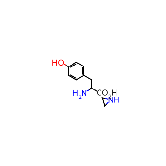 C1CN1.N[C@@H](Cc1ccc(O)cc1)C(=O)O